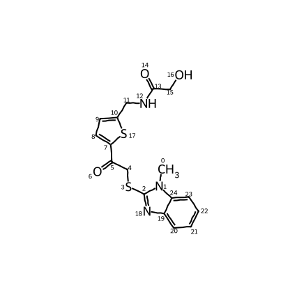 Cn1c(SCC(=O)c2ccc(CNC(=O)CO)s2)nc2ccccc21